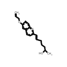 C=CCOc1ccc2nc(/C=C/CCCC(C)O)ccc2c1